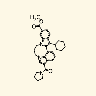 COC(=O)c1ccc2c(C3CCCCC3)c3n(c2c1)CCCn1cc(C(=O)N2CCCC2)c2cccc-3c21